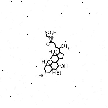 CC[C@H]1[C@@H](O)C2C3CCC(C(C)CCC(=O)NCS(=O)(=O)O)[C@@]3(C)CCC2[C@@]2(C)CC[C@@H](O)C[C@@H]12